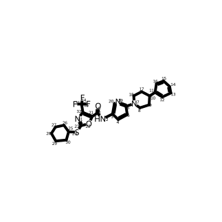 O=C(Nc1ccc(N2CCC(c3ccccc3)CC2)nc1)c1oc(SC2CCCCC2)nc1C(F)(F)F